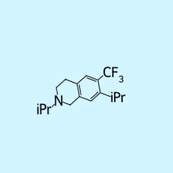 CC(C)c1cc2c(cc1C(F)(F)F)CCN(C(C)C)C2